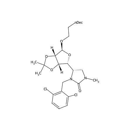 CCCCCCCCCCCCO[C@H]1O[C@H]([C@@H]2CN(C)C(=O)N2Cc2c(Cl)cccc2Cl)[C@@H]2OC(C)(C)O[C@H]12